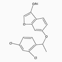 CC(=O)Oc1coc2cc(OC(C)c3ccc(Cl)cc3Cl)ccc12